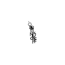 CC1(C)OC(c2cccc(C(F)(F)F)n2)=Nc2cc3cn([C@H]4CC[C@H](C)CC4)nc3cc21